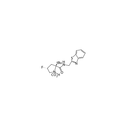 CC(C)(C)[C@]1(C(=O)NCc2nc3ccccc3s2)C[C@@H](F)CN1C(=O)O